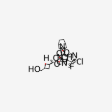 CC(C)(C)OC(=O)N1C2CCC1CN(c1nc(OCC34CC(CO)(C3)C4)nc3c(F)c(Cl)ncc13)C2